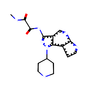 CNC(=O)C(=O)Nc1nn(C2CCNCC2)c2c1cnc1[nH]ccc12.Cl